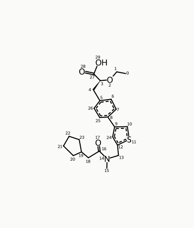 CCO[C@@H](Cc1ccc(-c2csc(CN(C)C(=O)CC3CCCC3)c2)cc1)C(=O)O